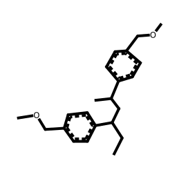 CCC(CC(C)c1ccc(COC)cc1)c1ccc(COC)cc1